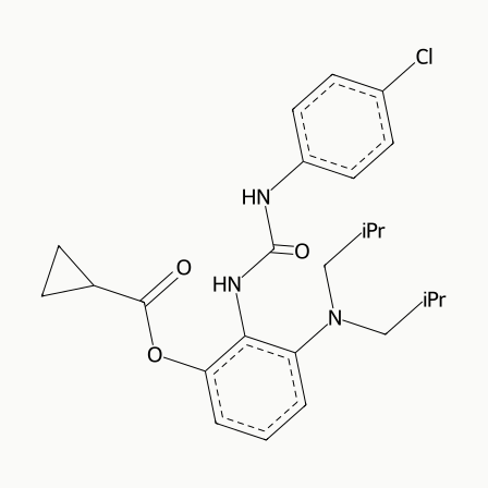 CC(C)CN(CC(C)C)c1cccc(OC(=O)C2CC2)c1NC(=O)Nc1ccc(Cl)cc1